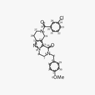 COc1ccc(CN2CCn3nc4c(c3C2=O)CN(C(=O)c2cccc(Cl)c2)CC4)cc1